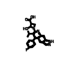 CC(C)c1c(N2CC(C(=O)O)C2O)nc2cc3[nH]ncc3cc2c1-c1ccc(F)cc1